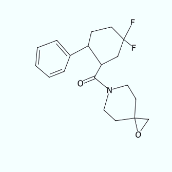 O=C(C1CC(F)(F)CCC1c1ccccc1)N1CCC2(CC1)CO2